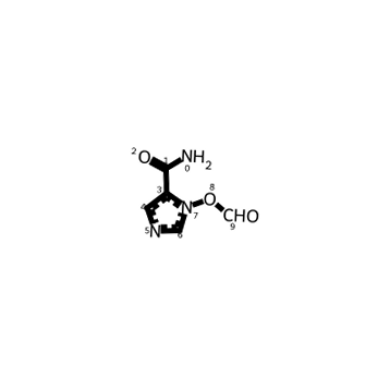 NC(=O)c1cncn1OC=O